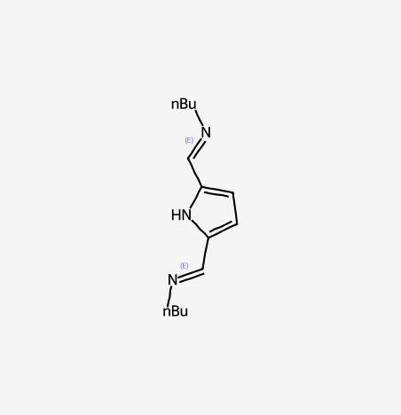 CCCC/N=C/c1ccc(/C=N/CCCC)[nH]1